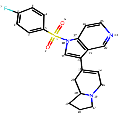 O=S(=O)(c1ccc(F)cc1)n1cc(C2=CCN3CCCC3C2)c2cnccc21